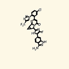 Nc1n[nH]c2cc(-c3[nH]c(C4C5CC5c5nc(-c6cc(Cl)ccc6-n6cc(C(F)(F)F)nn6)cc(=O)n54)nc3F)ccc12